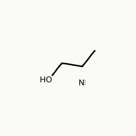 CCCO.[N]